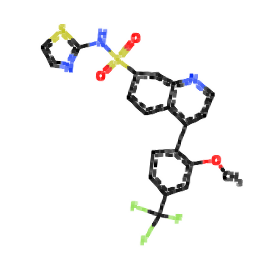 COc1cc(C(F)(F)F)ccc1-c1ccnc2cc(S(=O)(=O)Nc3nccs3)ccc12